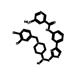 CC(=O)N(Sc1nc(-c2cccc(NC(=O)c3cncc(C(=O)O)c3)c2)cs1)C1CCN(Cc2ccc(Cl)c(Cl)c2)CC1